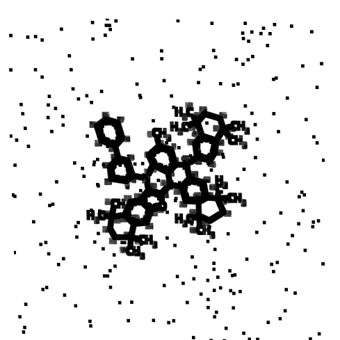 Cc1cc2c3c(c1)N(c1cccc(-c4ccccc4)c1)c1c(oc4cc5c(cc14)C(C)(C)CCC5(C)C)B3c1cc3c(cc1N2c1ccc2c(c1)C(C)(C)CCC2(C)C)C(C)(C)CCC3(C)C